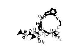 C=C[C@@H]1C[C@]1(NC(=O)[C@@H]1C[C@@H]2CN1C(=O)[C@H](C(C)C)NC(C(F)(F)C(F)(F)F)CCCCCCc1cccc3c1CN(C3)C(=O)O2)C(=O)NS(=O)(=O)C1CC1